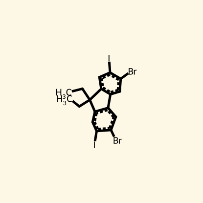 CCC1(CC)c2cc(I)c(Br)cc2-c2cc(Br)c(I)cc21